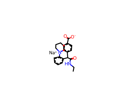 CCNC(=O)C(c1ccc(C(=O)[O-])cc1)c1ccccc1N1CCCCC1.[Na+]